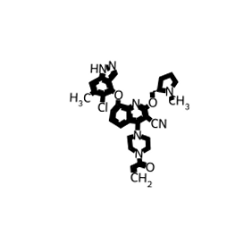 C=CC(=O)N1CCN(c2c(C#N)c(OC[C@@H]3CCCN3C)nc3c(Oc4c(Cl)c(C)cc5[nH]ncc45)cccc23)CC1